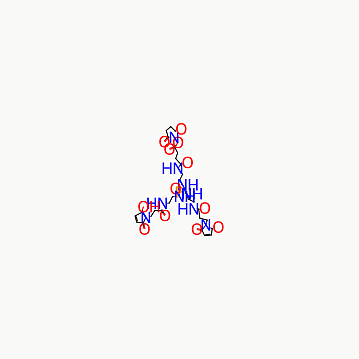 O=C(CCC(=O)ON1C(=O)CCC1=O)NCCNP(=O)(NCCNC(=O)CCN1C(=O)C=CC1=O)NCCNC(=O)CCN1C(=O)C=CC1O